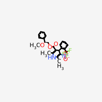 CO[C@H](COC(=O)C1=C(C)NC(C)=C([N+](=O)[O-])C1c1ccccc1C(F)(F)F)c1ccccc1